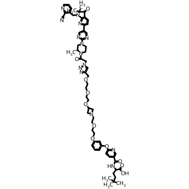 C[C@@H]1CN(c2ncc(-c3ccc4c(n3)N(Cc3cccnc3C#N)C(C)(C)C4=O)cn2)CCN1C(=O)Cn1cc(COCCOCCOC2CN(CCOCCOc3cccc(Oc4ccc(C(=O)NC(CCC(C)(C)C)C(=O)O)cn4)c3)C2)nn1